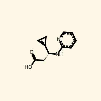 O=C(O)C[C@@H](Nc1ccccn1)C1=CC1